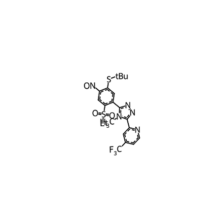 CCS(=O)(=O)c1cc(N=O)c(SC(C)(C)C)cc1-c1nnc(-c2cc(C(F)(F)F)ccn2)n1C